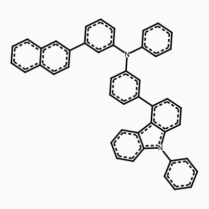 c1ccc(N(c2cccc(-c3ccc4ccccc4c3)c2)c2cccc(-c3cccc4c3c3ccccc3n4-c3ccccc3)c2)cc1